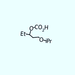 CCC(CCOC(C)C)OC(=O)O